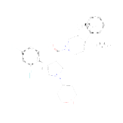 CO[C@H]1CN(C(=O)[C@@H]2CN(C3CCOCC3)C[C@H]2c2ccc(F)cc2F)CC[C@]1(OC)c1ccccc1